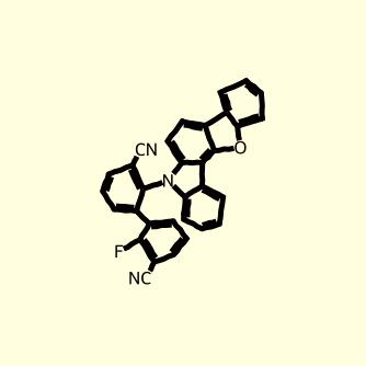 N#Cc1cccc(-c2cccc(C#N)c2-n2c3ccccc3c3c4oc5ccccc5c4ccc32)c1F